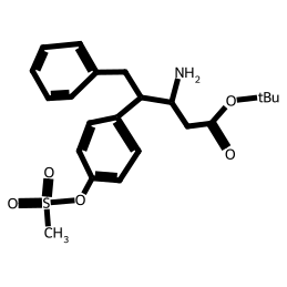 CC(C)(C)OC(=O)CC(N)C(Cc1ccccc1)c1ccc(OS(C)(=O)=O)cc1